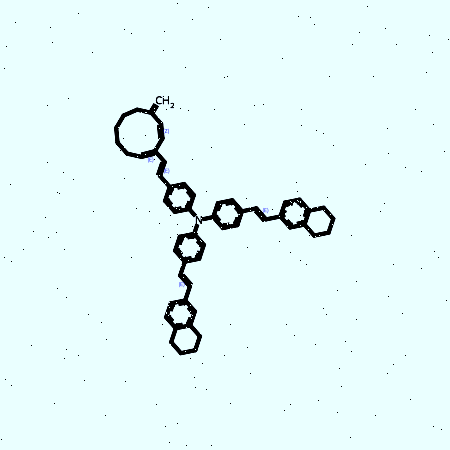 C=C1\C=C/C(/C=C/c2ccc(N(c3ccc(/C=C/c4ccc5c(c4)CCCC5)cc3)c3ccc(/C=C/c4ccc5c(c4)CCCC5)cc3)cc2)=C\CCCCC1